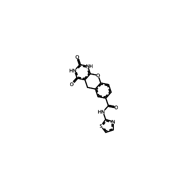 O=C(Nc1nccs1)c1ccc2c(c1)Cc1c([nH]c(=O)[nH]c1=O)O2